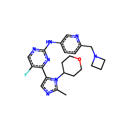 Cc1ncc(-c2nc(Nc3ccc(CN4CCC4)nc3)ncc2F)n1C1CCOCC1